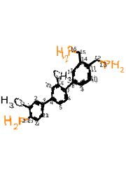 Cc1cc(-c2ccc(-c3ccc(CP)c(CP)c3)c(C)c2)ccc1P